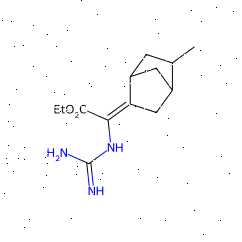 CCOC(=O)C(NC(=N)N)=C1CC2CC1CC2C